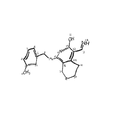 Cc1cccc(CSc2nc(O)c(C=N)c3c2CCCC3)c1